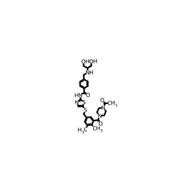 CC(=O)N1CCN(C(=O)c2cc(CSc3cnc(NC(=O)c4ccc(CNC(CO)CO)cc4)s3)cc(C)c2C)CC1